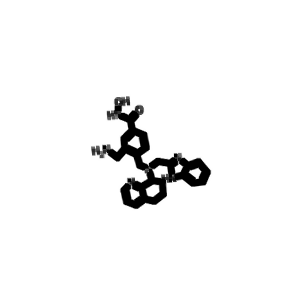 NCc1cc(C(=O)NO)ccc1CN(Cc1nc2ccccc2[nH]1)C1CCCc2cccnc21